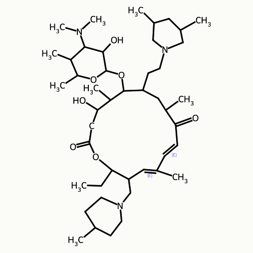 CCC1OC(=O)CC(O)C(C)C(OC2OC(C)C(C)C(N(C)C)C2O)C(CCN2CC(C)CC(C)C2)CC(C)C(=O)/C=C/C(C)=C/C1CN1CCC(C)CC1